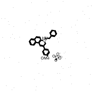 COc1ccc(C2=Cc3c(ccc4ccccc34)[O+](NCc3ccccc3)C2)cc1.[O-][Cl+3]([O-])([O-])[O-]